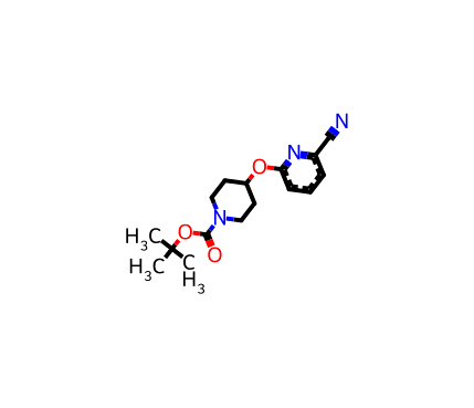 CC(C)(C)OC(=O)N1CCC(Oc2cccc(C#N)n2)CC1